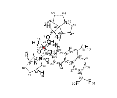 [2H]C([2H])(Oc1nc(N2C[C@H]3CC[C@@H](C2)N3C(=O)OC(C)(C)C)c2cnc(-c3cc(C(F)F)ccc3CC)c(F)c2n1)C12CCCN1CCC2